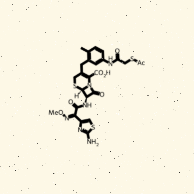 CO/N=C(\C(=O)N[C@@H]1C(=O)N2C(C(=O)O)=C(Cc3cc(NC(=O)CSC(C)=O)ccc3C)CS[C@H]12)c1csc(N)n1